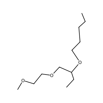 CCCCCOC(CC)COCCOC